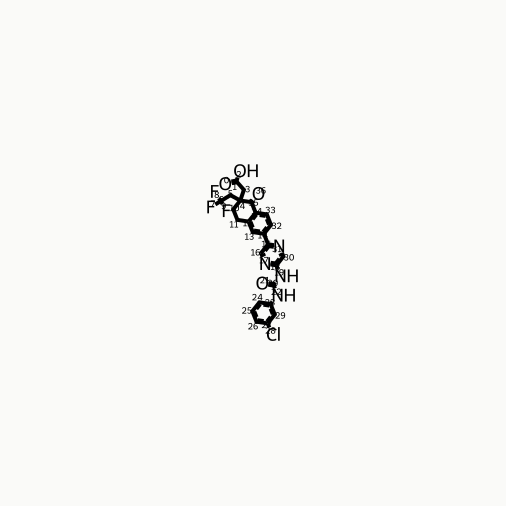 O=C(O)CC1(CC(F)(F)F)CCc2cc(-c3cnc(NC(=O)Nc4cccc(Cl)c4)cn3)ccc2C1=O